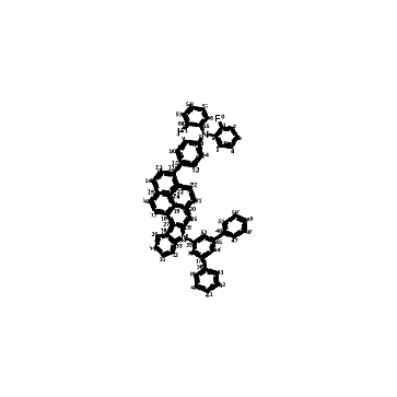 Fc1ccccc1N(c1ccc(-c2ccc3ccc4c5c(ccc2c35)cc2c4c3ccccc3n2-c2cc(-c3ccccc3)cc(-c3ccccc3)c2)cc1)c1ccccc1F